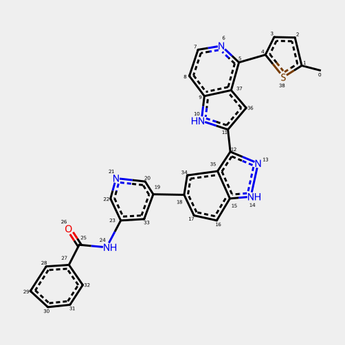 Cc1ccc(-c2nccc3[nH]c(-c4n[nH]c5ccc(-c6cncc(NC(=O)c7ccccc7)c6)cc45)cc23)s1